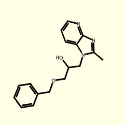 Cc1nc2ncccc2n1CC(O)COCc1ccccc1